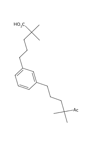 CC(=O)C(C)(C)CCCc1cccc(CCCC(C)(C)C(=O)O)c1